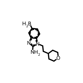 Bc1ccc2c(c1)nc(N)n2CCC1CCOCC1